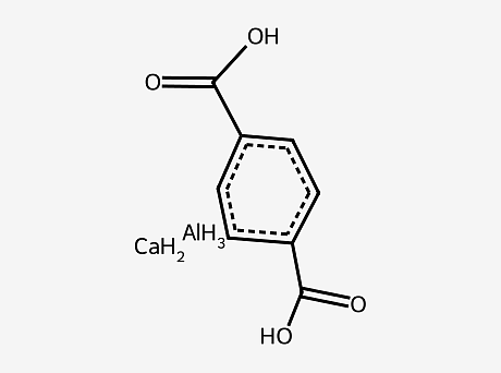 O=C(O)c1ccc(C(=O)O)cc1.[AlH3].[CaH2]